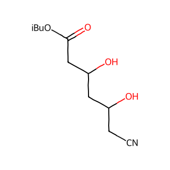 CC(C)COC(=O)CC(O)CC(O)CC#N